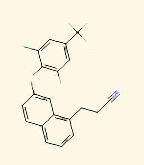 N#CCCc1cccc2ccc(Oc3c(F)cc(C(F)(F)F)cc3Cl)cc12